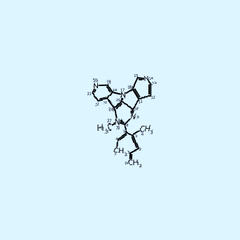 C=C/C=C(C)\C(=C/C)c1nc2c3ccncc3n3c4cnccc4c(c23)[n+]1C